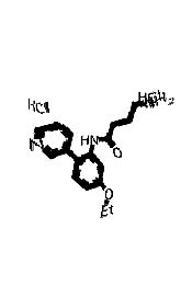 CCOc1ccc(-c2cccnc2)c(NC(=O)CCCN)c1.Cl.Cl